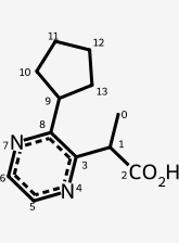 CC(C(=O)O)c1nccnc1C1CCCC1